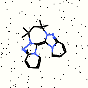 C[Si]1(C)C[Si](C)(C)N2N=C3C=CC=CN3C2=C2N3C=CC=CC3=NN21